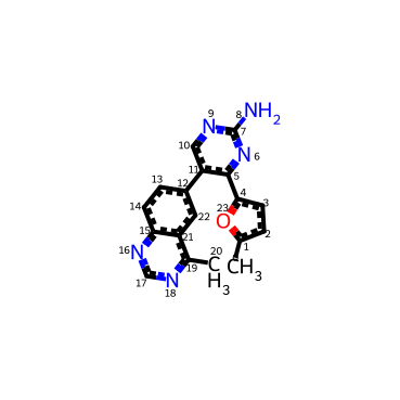 Cc1ccc(-c2nc(N)ncc2-c2ccc3ncnc(C)c3c2)o1